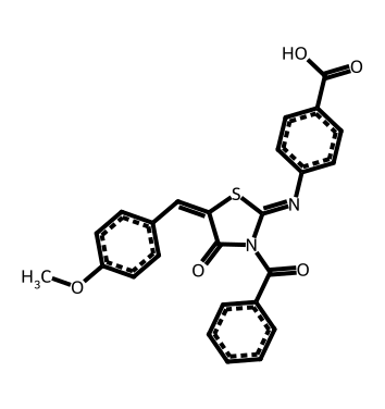 COc1ccc(C=C2SC(=Nc3ccc(C(=O)O)cc3)N(C(=O)c3ccccc3)C2=O)cc1